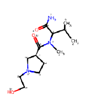 CC(C)C(C(N)=O)N(C)C(=O)[C@H]1CCN(CCO)C1